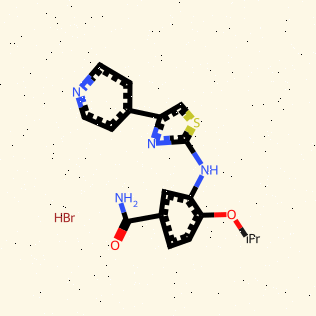 Br.CC(C)Oc1ccc(C(N)=O)cc1Nc1nc(-c2ccncc2)cs1